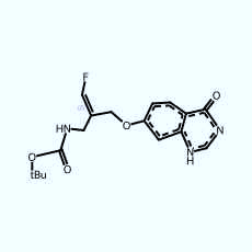 CC(C)(C)OC(=O)NC/C(=C/F)COc1ccc2c(=O)nc[nH]c2c1